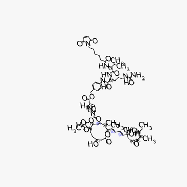 CC[C@H](O)[C@@H](C)[C@H]1O[C@@H]1CC(C)(O)/C=C/C=C(\C)[C@H]1OC(=O)C[C@H](O)CC[C@@](C)(OC(C)=O)[C@@H](OC(=O)N2C[C@H]3CCC2CN3C(=O)OCc2ccc(NC(=O)[C@H](CCCNC(N)=O)NC(=O)[C@@H](NC(=O)CCCCCN3C(=O)C=CC3=O)C(C)C)cc2)/C=C/[C@@H]1C